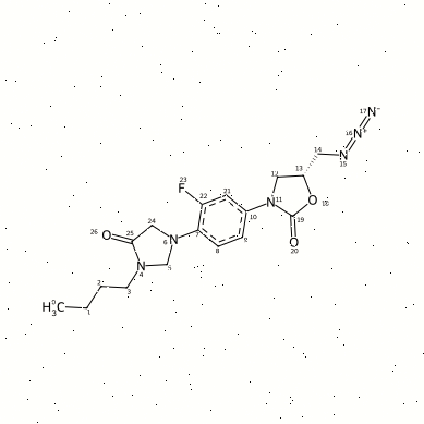 CCCCN1CN(c2ccc(N3C[C@H](CN=[N+]=[N-])OC3=O)cc2F)CC1=O